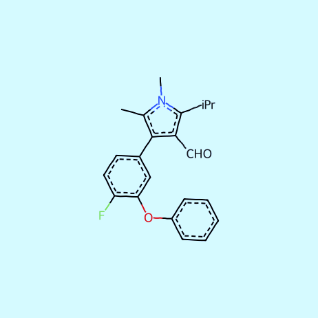 Cc1c(-c2ccc(F)c(Oc3ccccc3)c2)c(C=O)c(C(C)C)n1C